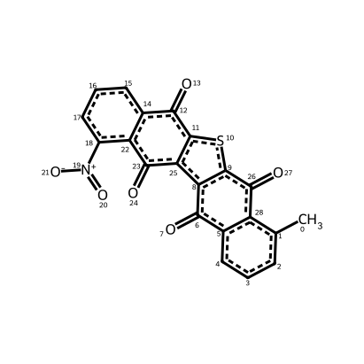 Cc1cccc2c(=O)c3c(sc4c(=O)c5cccc([N+](=O)[O-])c5c(=O)c43)c(=O)c12